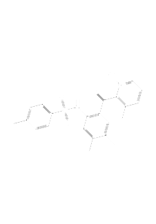 Cc1ccc(S(=O)(=O)Nc2cc(C)c(C)cc2C(=O)c2c(C)ccc[n+]2[O-])cc1